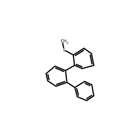 CSc1ccccc1-c1ccccc1-c1ccccc1